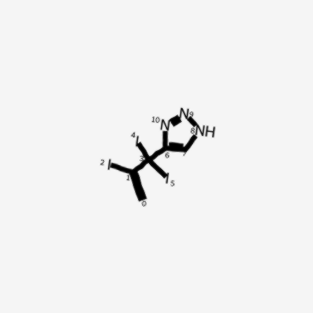 C=C(I)C(I)(I)c1c[nH]nn1